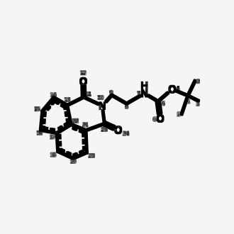 CC(C)(C)OC(=O)NCCN1C(=O)c2cccc3cccc(c23)C1=O